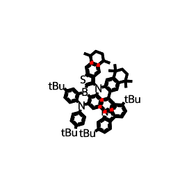 CC(C)(C)c1ccc(N2c3ccc(C(C)(C)C)cc3B3c4sc5cc6c(cc5c4N(c4cc5c(cc4-c4ccccc4)C(C)(C)CCC5(C)C)c4cc(-n5c7cc(C(C)(C)C)ccc7c7ccc(C(C)(C)C)cc75)cc2c43)C2(C)CCC6(C)CC2)cc1